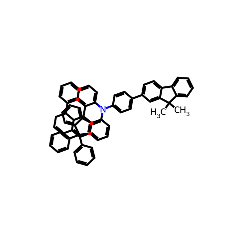 CC1(C)c2ccccc2-c2ccc(-c3ccc(N(c4ccccc4C4C=CC=C5C=CCC(c6ccccc6)C54)c4cccc5c4-c4ccccc4C5(c4ccccc4)c4ccccc4)cc3)cc21